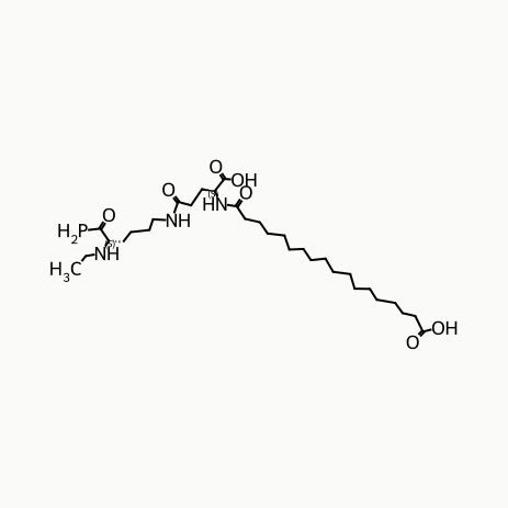 CCN[C@@H](CCCCNC(=O)CC[C@H](NC(=O)CCCCCCCCCCCCCCCCC(=O)O)C(=O)O)C(=O)P